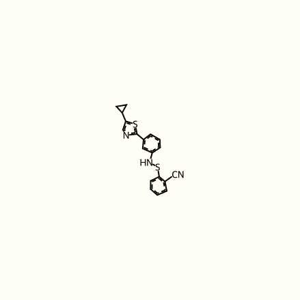 N#Cc1ccccc1SNc1cccc(-c2ncc(C3CC3)s2)c1